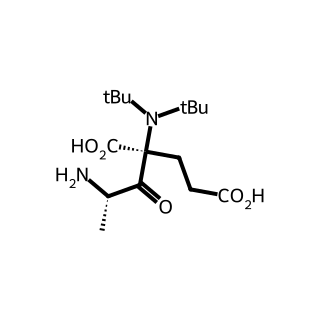 C[C@H](N)C(=O)[C@@](CCC(=O)O)(C(=O)O)N(C(C)(C)C)C(C)(C)C